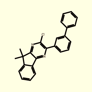 CC1(C)c2ccccc2-c2nc(-c3cccc(-c4ccccc4)c3)c(Cl)nc21